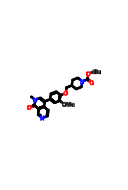 COc1cc(-c2cn(C)c(=O)c3cnccc23)ccc1OCC1CCN(C(=O)OC(C)(C)C)CC1